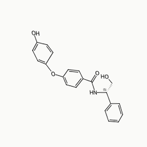 O=C(N[C@H](CO)c1ccccc1)c1ccc(Oc2ccc(O)cc2)cc1